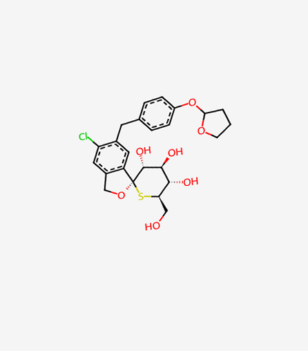 OC[C@H]1S[C@]2(OCc3cc(Cl)c(Cc4ccc(OC5CCCO5)cc4)cc32)[C@H](O)[C@@H](O)[C@@H]1O